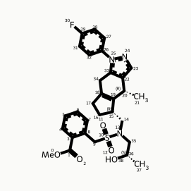 COC(=O)c1ccccc1CS(=O)(=O)N(C[C@@H]1CCC2=C1[C@@H](C)c1cnn(-c3ccc(F)cc3)c1C2)C[C@H](C)O